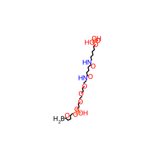 BC1CCC(COP(O)OCCOCCOCCOCCNC(=O)CCCC(=O)NCCCCCCOP(=O)(O)O)O1